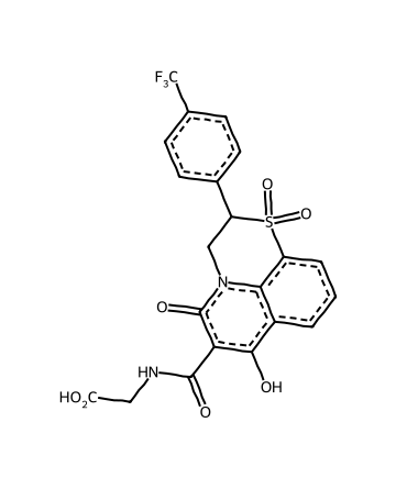 O=C(O)CNC(=O)c1c(O)c2cccc3c2n(c1=O)CC(c1ccc(C(F)(F)F)cc1)S3(=O)=O